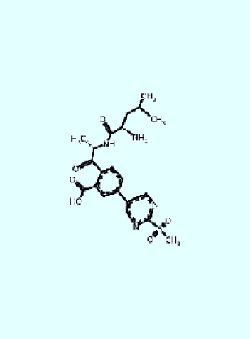 CC(C)C[C@@H](N)C(=O)N[C@@H](C)C(=O)c1ccc(-c2cnc(S(C)(=O)=O)nc2)cc1C(=O)O